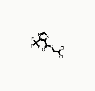 O=C(OCC(Cl)Cl)c1scnc1C(F)(F)F